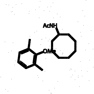 CC(=O)NC1CCCCCCC1.COc1c(C)cccc1C